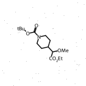 CCOC(=O)C(OC)C1CCN(C(=O)OC(C)(C)C)CC1